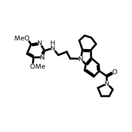 COc1cc(OC)nc(NCCCn2c3c(c4cc(C(=O)N5CCCC5)ccc42)CCCC3)n1